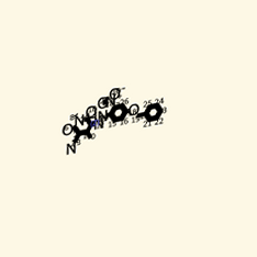 CC1=C(C#N)C(=O)N(C)C(=O)/C1=N\Nc1ccc(OCc2ccccc2)cc1[N+](=O)[O-]